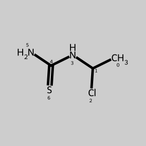 CC(Cl)NC(N)=S